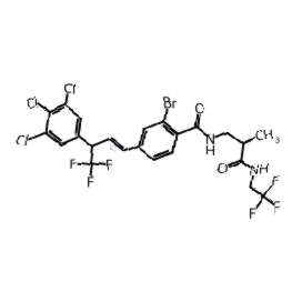 CC(CNC(=O)c1ccc(/C=C/C(c2cc(Cl)c(Cl)c(Cl)c2)C(F)(F)F)cc1Br)C(=O)NCC(F)(F)F